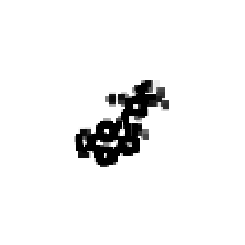 COc1c(C)cnc(COc2ccc(-c3nccnc3N3CCCC(c4cccc(C)c4)C3)cc2)c1C